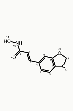 O=C(C=Cc1ccc2c(c1)OCO2)NO